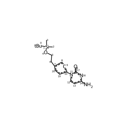 CC(C)(C)[Si](C)(C)OCCc1ccc(-n2ccc(N)nc2=O)cc1